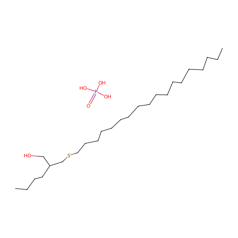 CCCCCCCCCCCCCCCCCCSCC(CO)CCCC.O=P(O)(O)O